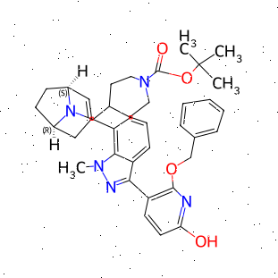 Cn1nc(-c2ccc(O)nc2OCc2ccccc2)c2cccc(C3=C[C@@H]4CC[C@H](C3)N4CC3CCN(C(=O)OC(C)(C)C)CC3)c21